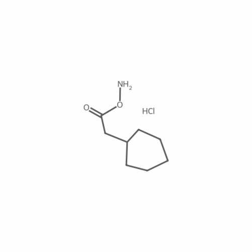 Cl.NOC(=O)CC1CCCCC1